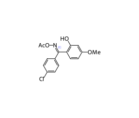 COc1ccc(/C(=N/OC(C)=O)c2ccc(Cl)cc2)c(O)c1